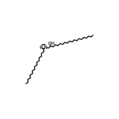 CCCCCCCCCCCCCCCCCCC(O)CN1CCN=C1CCCCCCCCCCCCCCCC